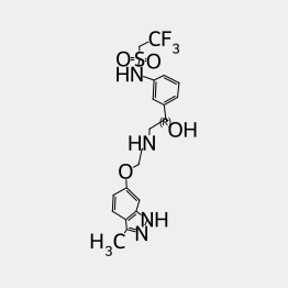 Cc1n[nH]c2cc(OCCNC[C@H](O)c3cccc(NS(=O)(=O)CC(F)(F)F)c3)ccc12